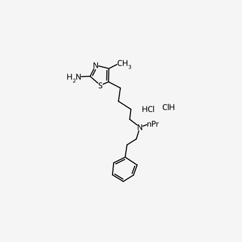 CCCN(CCCCc1sc(N)nc1C)CCc1ccccc1.Cl.Cl